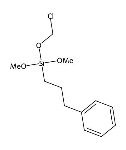 CO[Si](CCCc1ccccc1)(OC)OCCl